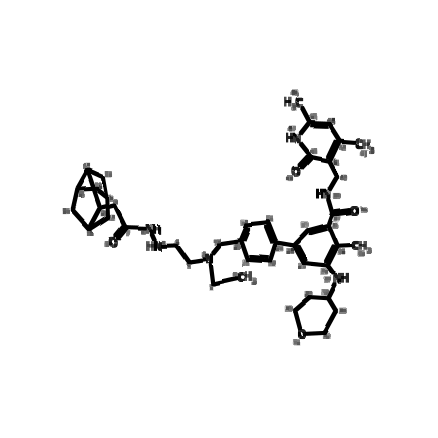 CCN(CCNNC(=O)CC1C2CC3CC(C2)C1C3)Cc1ccc(-c2cc(NC3CCOCC3)c(C)c(C(=O)NCc3c(C)cc(C)[nH]c3=O)c2)cc1